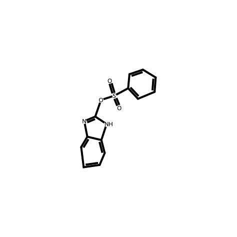 O=S(=O)(Oc1nc2ccccc2[nH]1)c1ccccc1